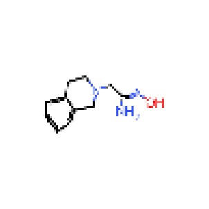 N/C(CN1CCc2ccccc2C1)=N\O